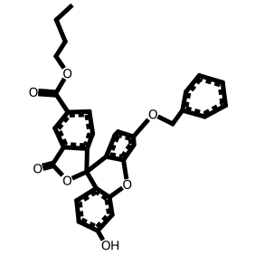 CCCCOC(=O)c1ccc2c(c1)C(=O)OC21c2ccc(O)cc2Oc2cc(OCc3ccccc3)ccc21